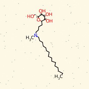 CCCCCCCCCCCCCCCCN(C)CCCCC1O[C@H](CO)[C@@H](O)[C@H](O)[C@H]1O